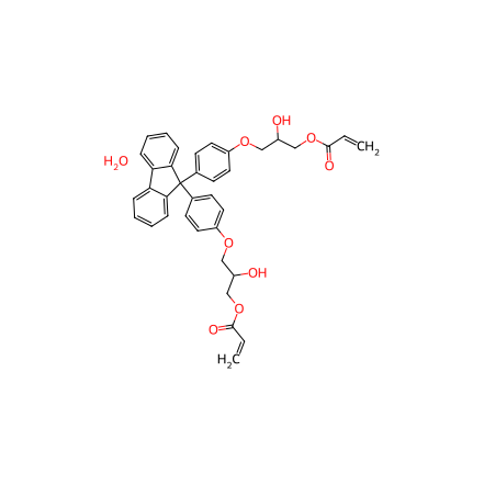 C=CC(=O)OCC(O)COc1ccc(C2(c3ccc(OCC(O)COC(=O)C=C)cc3)c3ccccc3-c3ccccc32)cc1.O